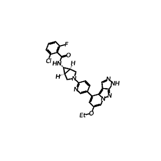 CCOc1cc(-c2ccc(N3C[C@@H]4[C@H](C3)[C@H]4NC(=O)c3c(F)cccc3Cl)nc2)c2c3cn[nH]c3nn2c1